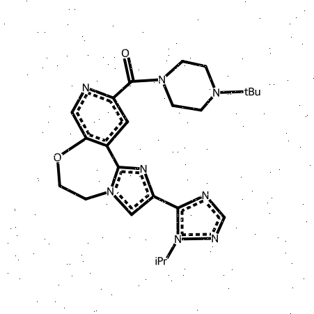 CC(C)n1ncnc1-c1cn2c(n1)-c1cc(C(=O)N3CCN(C(C)(C)C)CC3)ncc1OCC2